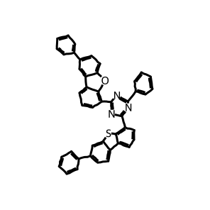 c1ccc(-c2ccc3c(c2)sc2c(-c4nc(-c5ccccc5)nc(-c5cccc6c5oc5ccc(-c7ccccc7)cc56)n4)cccc23)cc1